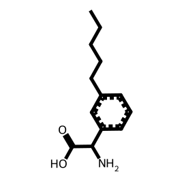 CCCCCc1cccc(C(N)C(=O)O)c1